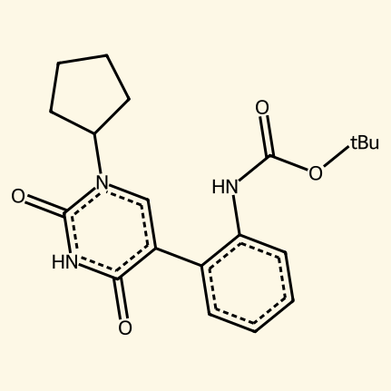 CC(C)(C)OC(=O)Nc1ccccc1-c1cn(C2CCCC2)c(=O)[nH]c1=O